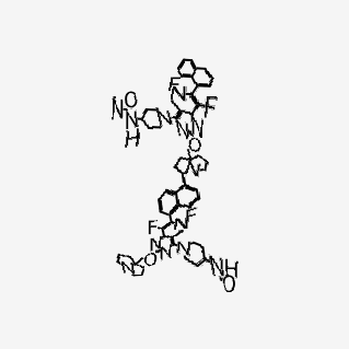 C=NC(=O)NC1CCN(c2nc(OCC34CCCN3C(c3ccc(F)c5c(-c6ncc7c(N8CCC(NC=O)CC8)nc(OCC89CCCN8CCC9)nc7c6F)cccc35)CC4)nc3c(F)c(-c4cccc5cccc(F)c45)ncc23)CC1